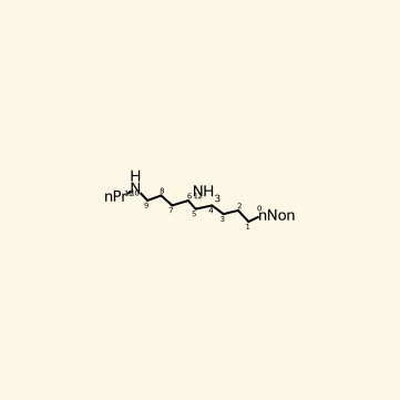 CCCCCCCCCCCCCCCCCCNCCC.N